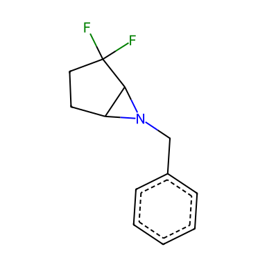 FC1(F)CCC2C1N2Cc1ccccc1